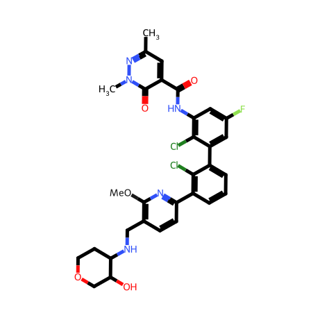 COc1nc(-c2cccc(-c3cc(F)cc(NC(=O)c4cc(C)nn(C)c4=O)c3Cl)c2Cl)ccc1CNC1CCOCC1O